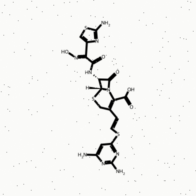 Nc1cc(SC=CC2=C(C(=O)O)N3C(=O)[C@@H](NC(=O)C(=NO)c4csc(N)n4)[C@H]3SC2)nc(N)n1